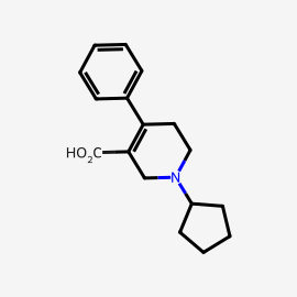 O=C(O)C1=C(c2ccccc2)CCN(C2CCCC2)C1